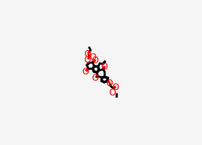 C=CCc1c2c(cc3c1C(=O)C(OC(=O)OCC)=CC3=O)C(=O)c1ccc(OCC(=O)OCC)cc1CC2=O